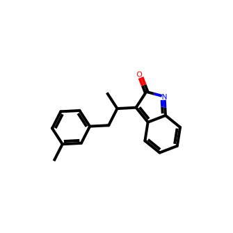 Cc1cccc(CC(C)C2=c3ccccc3=NC2=O)c1